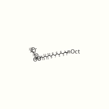 CCCCCCCCC=CCCCCCCCCCCCCOC(=O)OCCCC(C)C